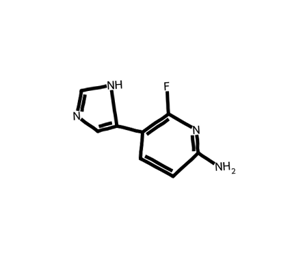 Nc1ccc(-c2cnc[nH]2)c(F)n1